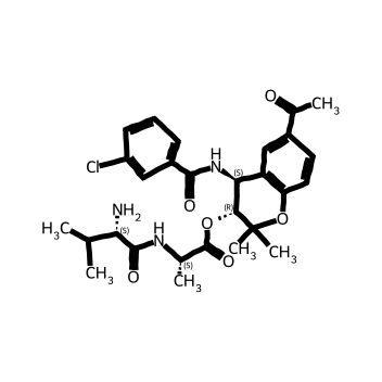 CC(=O)c1ccc2c(c1)[C@H](NC(=O)c1cccc(Cl)c1)[C@@H](OC(=O)[C@H](C)NC(=O)[C@@H](N)C(C)C)C(C)(C)O2